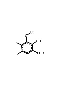 CCOc1c(O)c(C=O)cc(I)c1I